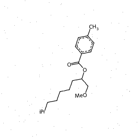 COCC(CCCCCC(C)C)OC(=O)c1ccc(C)cc1